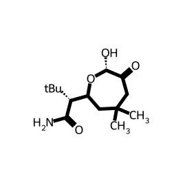 CC1(C)CC(=O)[C@@H](O)OC([C@H](C(N)=O)C(C)(C)C)C1